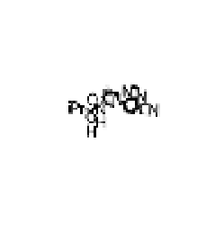 CC(C)C(O)C(=O)N[C@@H]1C[C@H](C)CN(c2ccc(C#N)c3nccnc23)C1